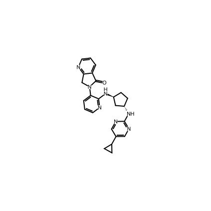 O=C1c2cccnc2CN1c1cccnc1N[C@H]1CC[C@H](Nc2ncc(C3CC3)cn2)C1